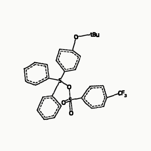 CC(C)(C)Oc1ccc(S(OS(=O)(=O)c2ccc(C(F)(F)F)cc2)(c2ccccc2)c2ccccc2)cc1